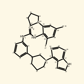 C=C(Nc1cccc(C2CCCN(c3ncnc4[nH]ccc34)C2)c1)Nc1c(F)cc(F)cc1N1CCCC1